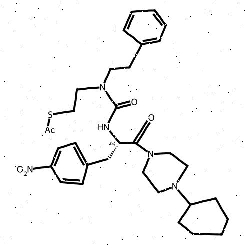 CC(=O)SCCN(CCc1ccccc1)C(=O)N[C@@H](Cc1ccc([N+](=O)[O-])cc1)C(=O)N1CCN(C2CCCCC2)CC1